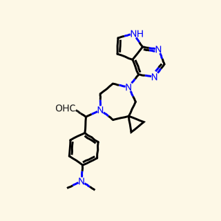 CN(C)c1ccc(C(C=O)N2CCN(c3ncnc4[nH]ccc34)CC3(CC3)C2)cc1